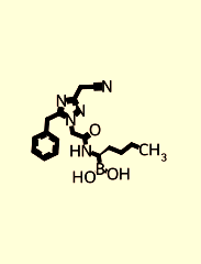 CCCC[C@H](NC(=O)Cn1nc(CC#N)nc1Cc1ccccc1)B(O)O